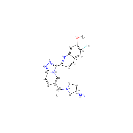 CCOc1cc2nc(-c3nnc4ccc([C@@H](C)N5CC[C@H](N)C5)cn34)ccc2cc1F